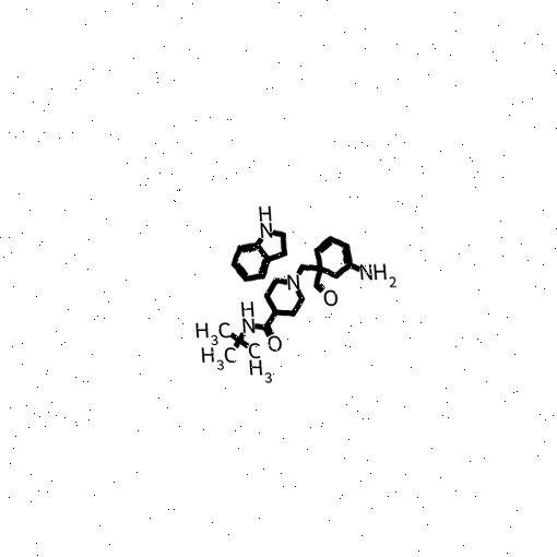 CC(C)(C)NC(=O)C1CCN(CC2(C=O)C=CC=C(N)C2)CC1.c1ccc2c(c1)CCN2